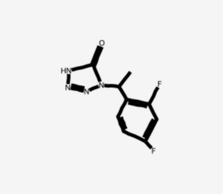 CC(c1ccc(F)cc1F)n1nn[nH]c1=O